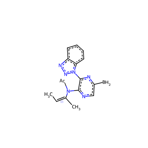 Bc1cnc(N(C(C)=O)/C(C)=C\C)c(-n2nnc3ccccc32)n1